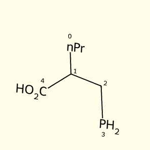 CCCC(CP)C(=O)O